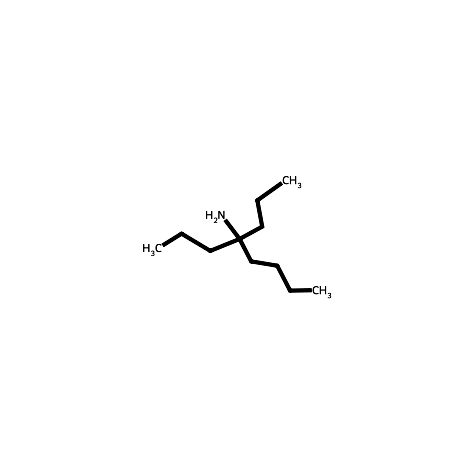 CCCCC(N)(CCC)CCC